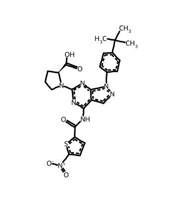 CC(C)(C)c1ccc(-n2ncc3c(NC(=O)c4ccc([N+](=O)[O-])s4)nc(N4CCC[C@H]4C(=O)O)nc32)cc1